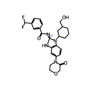 O=C(/N=c1\[nH]c2cc(N3CCOCC3=O)ccc2n1C1CCCC(CO)C1)c1cccc(C(F)F)c1